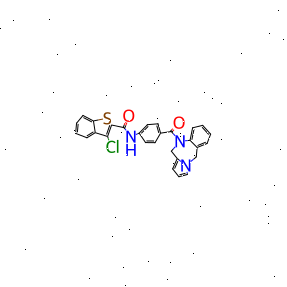 O=C(Nc1ccc(C(=O)N2Cc3cccn3Cc3ccccc32)cc1)c1sc2ccccc2c1Cl